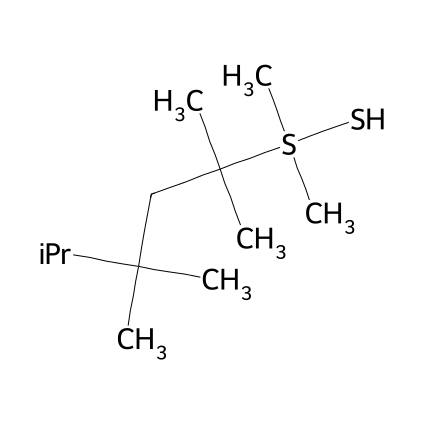 CC(C)C(C)(C)CC(C)(C)S(C)(C)S